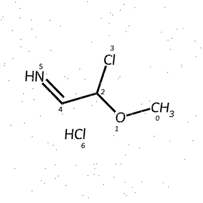 COC(Cl)C=N.Cl